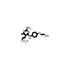 Cc1nc(N)nc(NC2CCC(OCCO)CC2)c1/C=C/C(=O)O